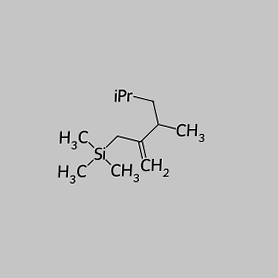 C=C(C[Si](C)(C)C)C(C)CC(C)C